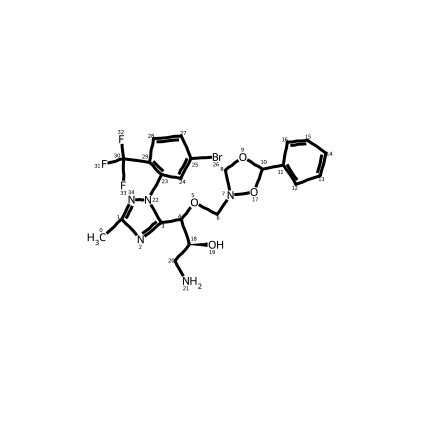 Cc1nc(C(OCN2COC(c3ccccc3)O2)[C@@H](O)CN)n(-c2cc(Br)ccc2C(F)(F)F)n1